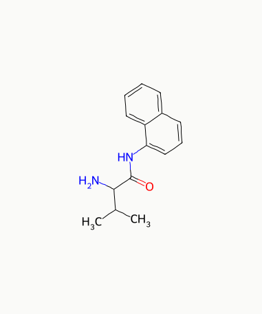 CC(C)C(N)C(=O)Nc1cccc2ccccc12